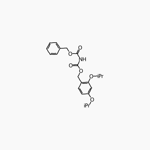 CC(C)Oc1ccc(COC(=O)NC(=O)OCc2ccccc2)c(OC(C)C)c1